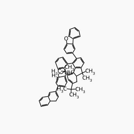 CC(C)(C)C1=CC(C(C)(C)C)=C2c3c(ccc(-c4ccc5oc6ccccc6c5c4)c3-c3ccccc3Nc3ccc(C4=CCC5C=CC=CC5=C4)cc3)C(C)(C)C2C1